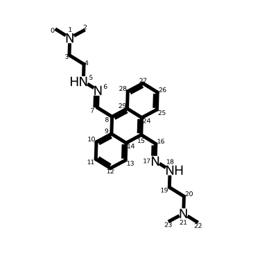 CN(C)CCNN=Cc1c2ccccc2c(C=NNCCN(C)C)c2ccccc12